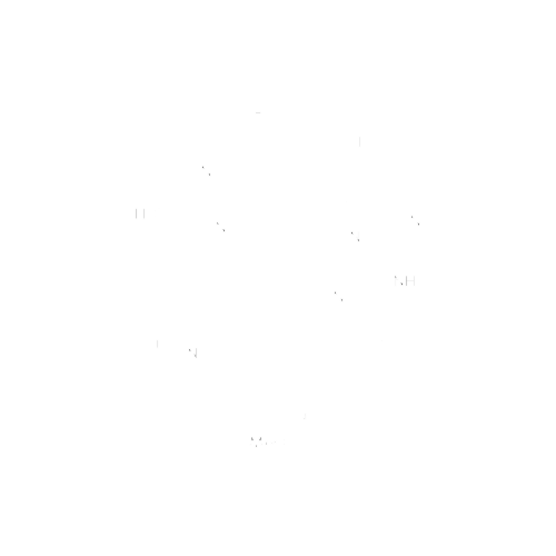 CCN1CCC(C(C(=O)OC)c2ccc(Nc3ncc(F)c(-c4cc(F)c5nc(C)n(C(C)C)c5c4)n3)nc2)CC1